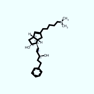 CN(C)CCCCCC1=C[C@H]2C[C@@H](O)[C@H](/C=C/[C@@H](O)CCc3ccccc3)[C@H]2C1